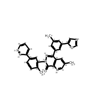 Cc1cc(-c2cnco2)cc(-c2nn(-c3cc(-c4cccnn4)ccc3C(F)(F)F)c(=O)c3ncc(C)cc23)c1